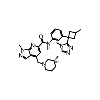 CC1CC(c2cccc(NC(=O)c3cc(CN4CCC[C@H](C)C4)c4cnn(C)c4n3)c2)(c2nncn2C)C1